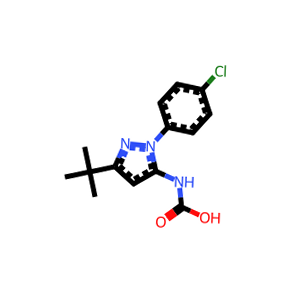 CC(C)(C)c1cc(NC(=O)O)n(-c2ccc(Cl)cc2)n1